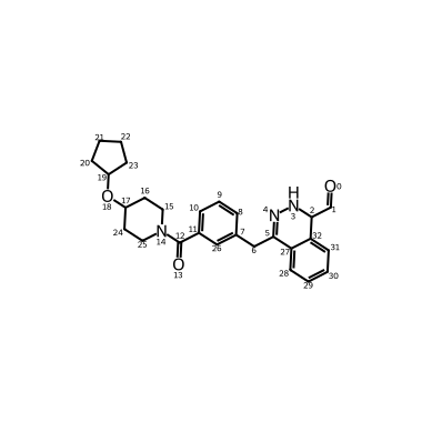 O=CC1NN=C(Cc2cccc(C(=O)N3CCC(OC4CCCC4)CC3)c2)c2ccccc21